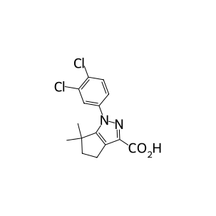 CC1(C)CCc2c(C(=O)O)nn(-c3ccc(Cl)c(Cl)c3)c21